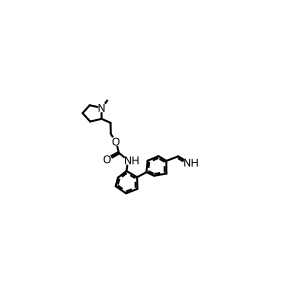 CN1CCCC1CCOC(=O)Nc1ccccc1-c1ccc(C=N)cc1